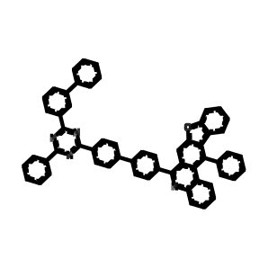 c1ccc(-c2cccc(-c3nc(-c4ccccc4)nc(-c4ccc(-c5ccc(-c6nc7ccccc7c7c(-c8ccccc8)c8c(cc67)oc6ccccc68)cc5)cc4)n3)c2)cc1